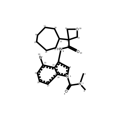 CN(C)C(=O)n1cc(NC(=O)C2(C3CCCCCC3)COC2)c2c(Br)cccc21